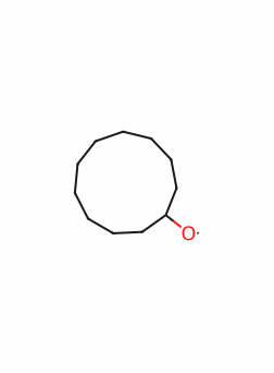 [O]C1CCCCCCCCCC1